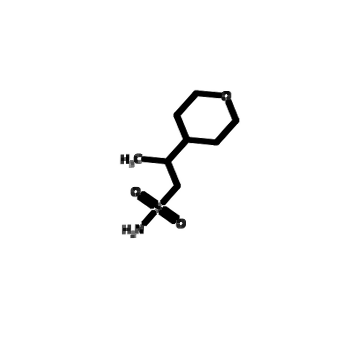 CC(CS(N)(=O)=O)C1CCOCC1